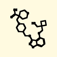 O=C(O)C1(CN2CCC(COc3noc4cccc(OCC5(CO)CCC5)c34)CC2)CCOCC1